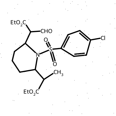 CCOC(=O)C(C)C1CCCC(C(C=O)C(=O)OCC)N1S(=O)(=O)c1ccc(Cl)cc1